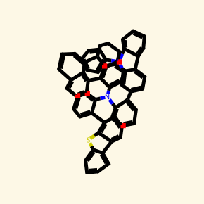 c1ccc(-n2c3ccccc3c3ccc(-c4ccccc4N(c4ccccc4-c4cccc5c4sc4ccccc45)c4ccccc4-c4cccc5cccc(C6CCCCC6)c45)cc32)cc1